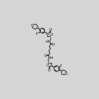 O=C(CCCCC(=O)NC[C@H]1CN(c2ccc(N3CCOCC3)c(F)c2)C(=O)O1)NC[C@H]1CN(c2ccc(N3CCOCC3)c(F)c2)C(=O)O1